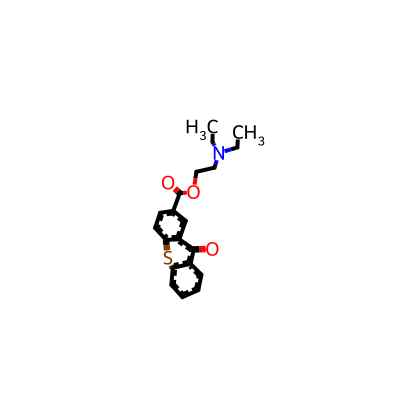 CCN(CC)CCOC(=O)c1ccc2sc3ccccc3c(=O)c2c1